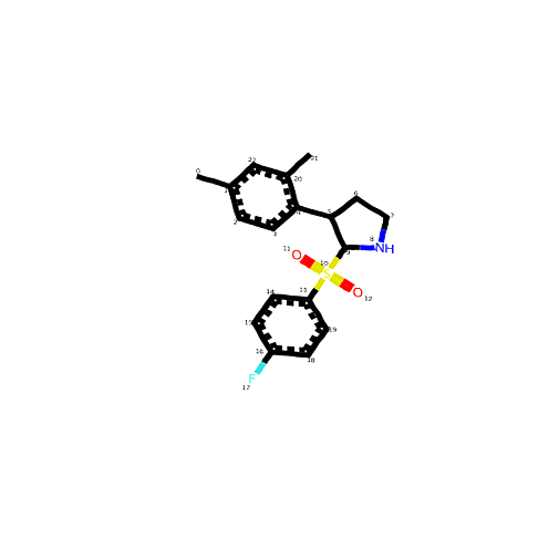 Cc1ccc(C2CCNC2S(=O)(=O)c2ccc(F)cc2)c(C)c1